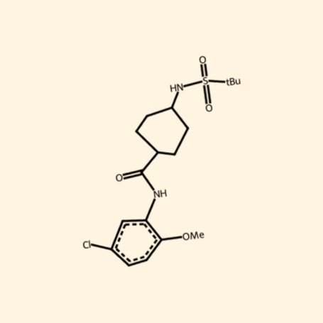 COc1ccc(Cl)cc1NC(=O)C1CCC(NS(=O)(=O)C(C)(C)C)CC1